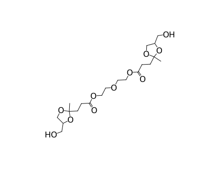 CC1(CCC(=O)OCCOCCOC(=O)CCC2(C)OCC(CO)O2)OCC(CO)O1